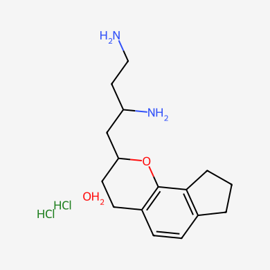 Cl.Cl.NCCC(N)CC1CCc2ccc3c(c2O1)CCC3.O